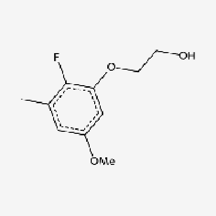 COc1cc(C)c(F)c(OCCO)c1